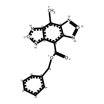 Cc1c2c(c(C(=O)OCc3ccccc3)c3nonc13)N=S=N2